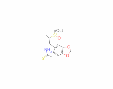 CC(N)=S.CCCCCCCC[S+]([O-])C(C)Cc1ccc2c(c1)OCO2